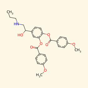 CCCNCC(O)c1ccc(OC(=O)c2ccc(OC)cc2)c(OC(=O)c2ccc(OC)cc2)c1